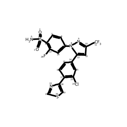 NS(=O)(=O)c1ccc(-n2nc(C(F)(F)F)cc2-c2ccc(-c3cscn3)c(Cl)c2)cc1F